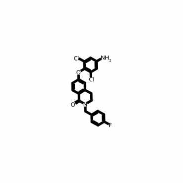 Nc1cc(Cl)c(Oc2ccc3c(c2)CCN(Cc2ccc(F)cc2)C3=O)c(Cl)c1